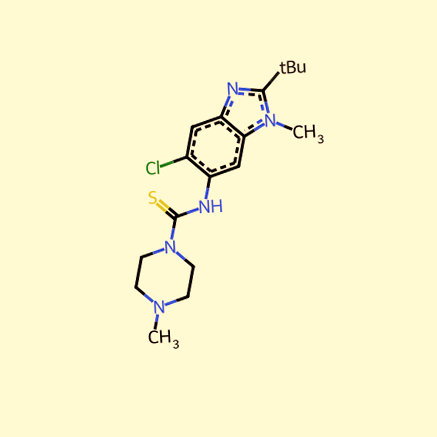 CN1CCN(C(=S)Nc2cc3c(cc2Cl)nc(C(C)(C)C)n3C)CC1